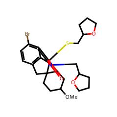 COC1CCC2(CC1)Cc1ccc(Br)cc1C21N=C(SCC2CCCO2)N(CC2CCCO2)C1=O